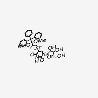 COC(OC)(C(C)C[Si](C)(C)c1cn([C@H]2O[C@@H](CO)C(O)C2O)c(=O)[nH]c1=O)C(c1ccccc1)(c1ccccc1)c1ccccc1